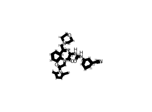 CC1CCC(C)N1C(=O)CN1C(=O)C(NC(=O)Nc2cccc(C#N)c2)N=C(CN2CCOCC2)c2ccccc21